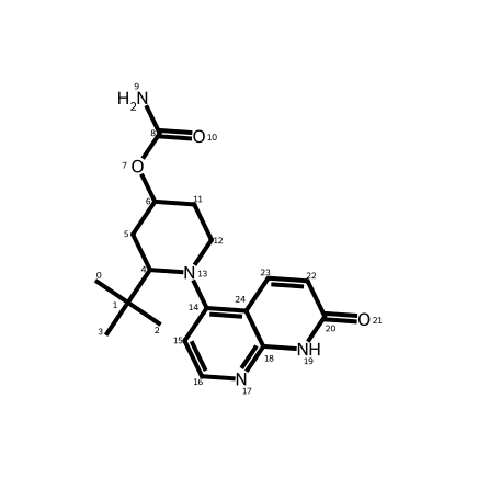 CC(C)(C)C1CC(OC(N)=O)CCN1c1ccnc2[nH]c(=O)ccc12